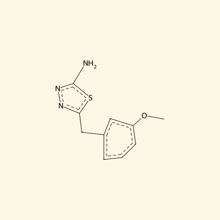 COc1cccc(Cc2nnc(N)s2)c1